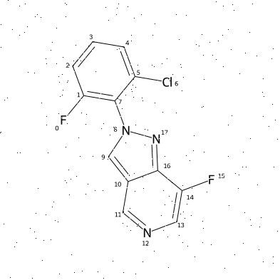 Fc1cccc(Cl)c1-n1cc2cncc(F)c2n1